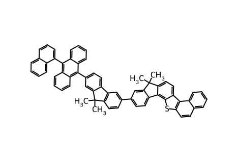 CC1(C)c2ccc(-c3ccc4c(c3)C(C)(C)c3ccc5c(sc6ccc7ccccc7c65)c3-4)cc2-c2ccc(-c3c4ccccc4c(-c4cccc5ccccc45)c4ccccc34)cc21